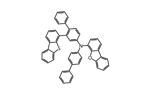 c1ccc(-c2ccc(N(c3ccc(-c4ccccc4)c(-c4cccc5c4sc4ccccc45)c3)c3cccc4c3oc3ccccc34)cc2)cc1